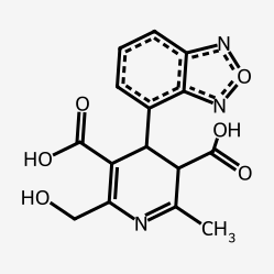 CC1=NC(CO)=C(C(=O)O)C(c2cccc3nonc23)C1C(=O)O